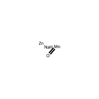 [NaH].[O]=[Mn].[Zn]